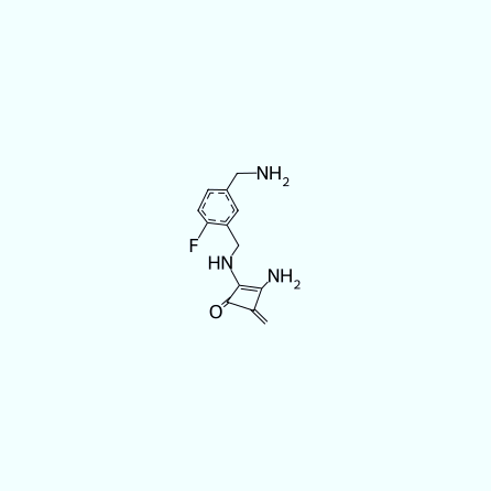 C=C1C(=O)C(NCc2cc(CN)ccc2F)=C1N